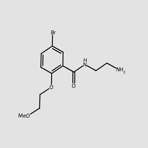 COCCOc1ccc(Br)cc1C(=O)NCCN